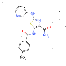 NC(=O)c1nc(Nc2cccnc2)sc1NC(=O)c1ccc([N+](=O)[O-])cc1